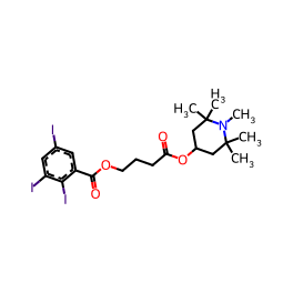 CN1C(C)(C)CC(OC(=O)CCCOC(=O)c2cc(I)cc(I)c2I)CC1(C)C